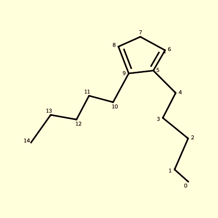 CCCCCC1=[C]CC=C1CCCCC